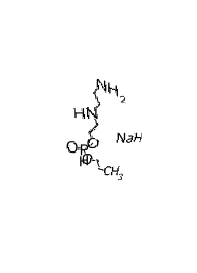 CCCO[PH](=O)OCCNCCN.[NaH]